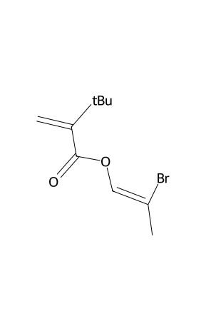 C=C(C(=O)OC=C(C)Br)C(C)(C)C